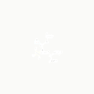 CCCCCCCCC(CCCCCC)C(=O)O.C[N+](C)(C)C[C@H](O)CC(=O)[O-]